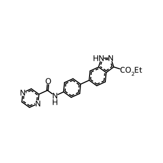 CCOC(=O)c1n[nH]c2cc(-c3ccc(NC(=O)c4cnccn4)cc3)ccc12